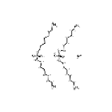 CCCCCCCCOP(=O)([O-])OCCCCCCCC.CCCCCCCCOP(=O)([O-])OCCCCCCCC.[Ni+2]